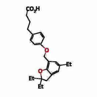 CCc1cc(COc2ccc(CCCC(=O)O)cc2)c2c(c1)CC(CC)(CC)O2